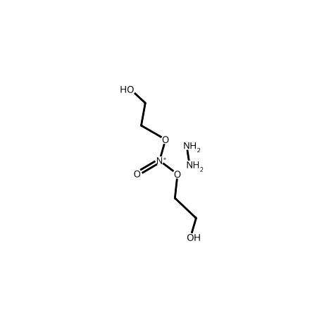 NN.O=[N+](OCCO)OCCO